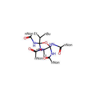 CCCCCCCCCC(=O)NC(NC(=O)CCCCCCCCC)(OC(NC(=O)CCCCCCCCC)(NC(=O)CCCCCCCCC)C(CC)CCCC)C(CC)CCCC